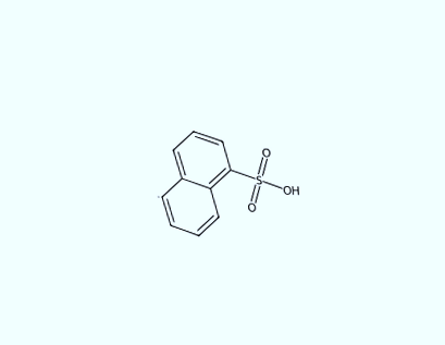 O=S(=O)(O)c1cccc2[c]cccc12